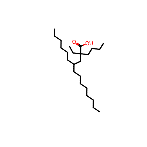 CCCCCCCCC(CCCCCC)CC(CC)(CCCC)C(=O)O